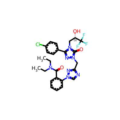 CCN(CC)C(=O)c1ccccc1-n1cnc(Cn2nc(-c3ccc(Cl)cc3)n(C[C@H](O)C(F)(F)F)c2=O)n1